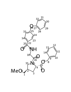 COC[C@@H]1C[C@@H](C(=O)OCc2ccccc2)N(C(=O)CNC(=O)c2ccc(Oc3ccccc3)cc2)C1